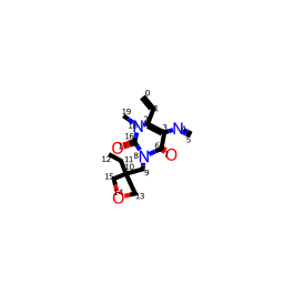 C=Cc1c(N=C)c(=O)n(CC2(CC)COC2)c(=O)n1C